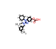 CCN(Cc1cccc(C)c1)c1nc2cc(OC(=O)O)ccc2n1C1CCCCCC1